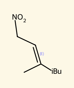 CCC(C)/C(C)=C/C[N+](=O)[O-]